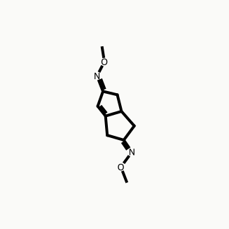 CON=C1C=C2CC(=NOC)CC2C1